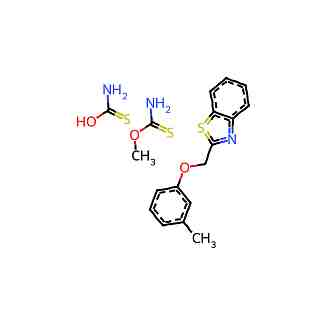 COC(N)=S.Cc1cccc(OCc2nc3ccccc3s2)c1.NC(O)=S